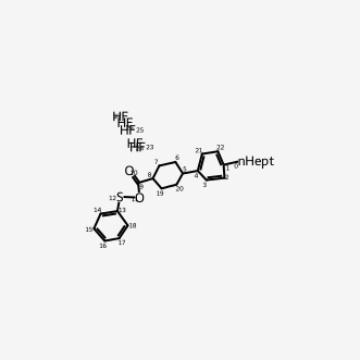 CCCCCCCc1ccc(C2CCC(C(=O)OSc3ccccc3)CC2)cc1.F.F.F.F.F